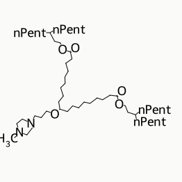 CCCCCC(CCCCC)CCOC(=O)CCCCCCCCC(CCCCCCCCC(=O)OCCC(CCCCC)CCCCC)OCCCN1CCN(C)CC1